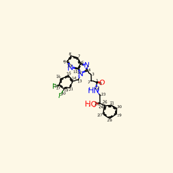 O=C(CCc1nc2cccnc2n1Cc1ccc(F)c(F)c1)NCC(O)c1ccccc1